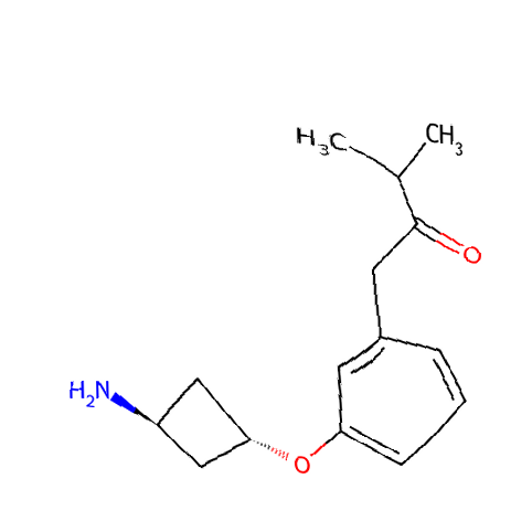 CC(C)C(=O)Cc1cccc(O[C@H]2C[C@H](N)C2)c1